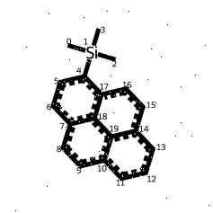 C[Si](C)(C)c1ccc2ccc3cccc4ccc1c2c34